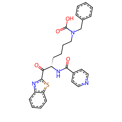 O=C(N[C@@H](CCCCN(Cc1ccccc1)C(=O)O)C(=O)c1nc2ccccc2s1)c1ccncc1